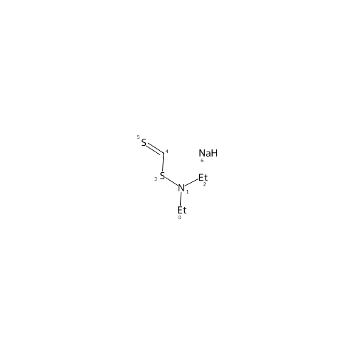 CCN(CC)SC=S.[NaH]